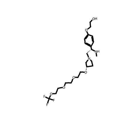 CN[C@H](CN1CC[C@H](OCCOCCOCCOC(F)(F)F)C1)c1ccc(OCCO)cc1